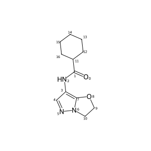 O=C(Nc1cnn2c1OCC2)C1CCCCC1